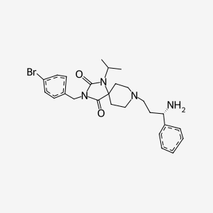 CC(C)N1C(=O)N(Cc2ccc(Br)cc2)C(=O)C12CCN(CC[C@H](N)c1ccccc1)CC2